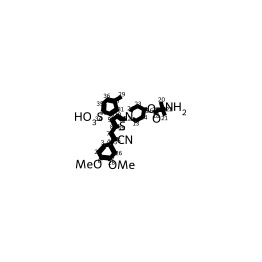 COc1ccc(/C(C#N)=C/c2ccc(N3CCC(OC(=O)C(C)(C)N)CC3)s2)cc1OC.Cc1ccc(S(=O)(=O)O)cc1